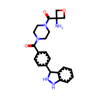 NC1(C(=O)N2CCN(C(=O)c3ccc(C4NNc5ccccc54)cc3)CC2)COC1